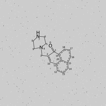 O=C1C(CN2CCNCC2)=Cc2cccc3cccc1c23